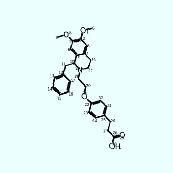 COc1cc2c(cc1OC)C(Cc1ccccc1)N(CCOc1ccc(CCC(=O)O)cc1)CC2